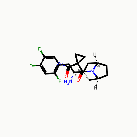 NC(=O)C1(C(=O)N2[C@@H]3CC[C@H]2C[C@H]([C@H](N)Cc2cc(F)c(F)cc2F)C3)CC1